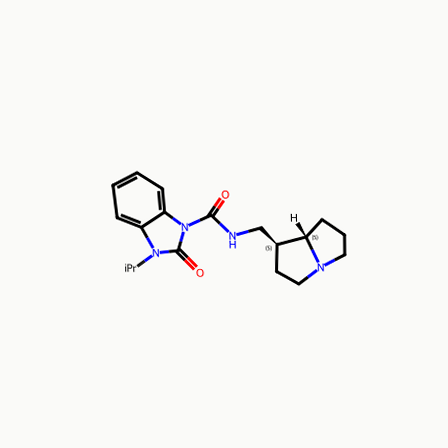 CC(C)n1c(=O)n(C(=O)NC[C@@H]2CCN3CCC[C@@H]23)c2ccccc21